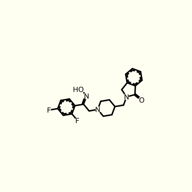 O=C1c2ccccc2CN1CC1CCN(CC(=NO)c2ccc(F)cc2F)CC1